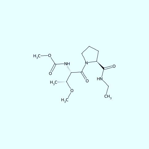 CCNC(=O)[C@@H]1CCCN1C(=O)[C@@H](NC(=O)OC)[C@@H](C)OC